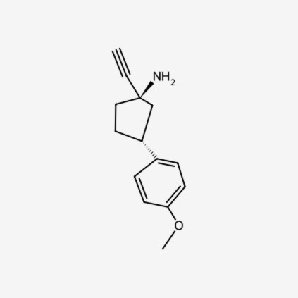 C#C[C@@]1(N)CC[C@@H](c2ccc(OC)cc2)C1